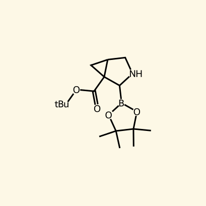 CC(C)(C)OC(=O)C12CC1CNC2B1OC(C)(C)C(C)(C)O1